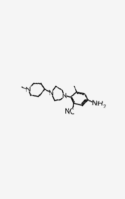 Cc1cc(N)cc(C#N)c1N1CCN(C2CCN(C)CC2)CC1